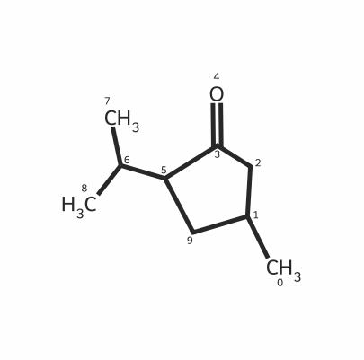 CC1CC(=O)C(C(C)C)C1